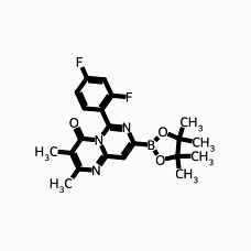 Cc1nc2cc(B3OC(C)(C)C(C)(C)O3)nc(-c3ccc(F)cc3F)n2c(=O)c1C